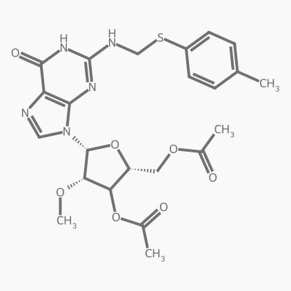 CO[C@H]1C(OC(C)=O)[C@@H](COC(C)=O)O[C@H]1n1cnc2c(=O)[nH]c(NCSc3ccc(C)cc3)nc21